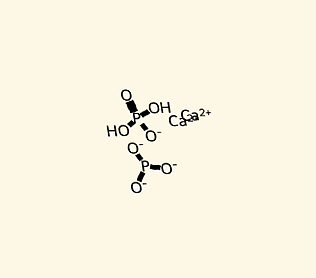 O=P([O-])(O)O.[Ca+2].[Ca+2].[O-]P([O-])[O-]